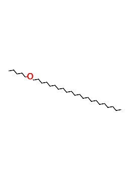 CCCCCCCCCCCCCCCCCCCCCCOCCCCC